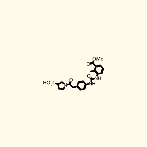 COC(=O)c1cccc(NC(=O)Nc2ccc(CC(=O)N3CCC(C(=O)O)C3)cc2)c1C